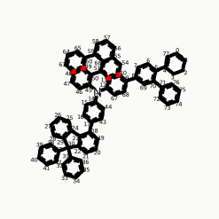 C1=CCCC(c2ccc(-c3ccc(N(c4ccc(-c5cccc6c5-c5ccccc5C6(c5ccccc5)c5ccccc5)cc4)c4ccccc4-c4cccc5cccc(-c6ccccc6)c45)cc3)cc2-c2ccccc2)=C1